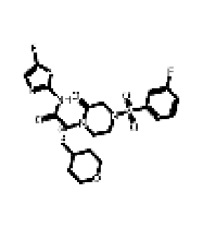 O=C(Nc1ncc(F)s1)[C@@H](CC1CCOCC1)N1CCN(S(=O)(=O)c2cccc(F)c2)CC1=O